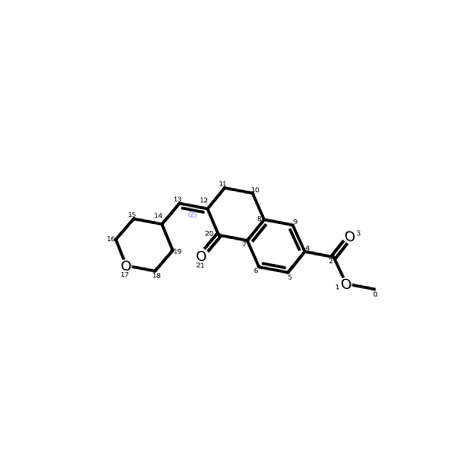 COC(=O)c1ccc2c(c1)CC/C(=C/C1CCOCC1)C2=O